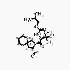 CC(C)COC(=O)N[C@H](C(=O)N1CC2(C[C@H]1C=O)SCCCS2)C(C)(C)C